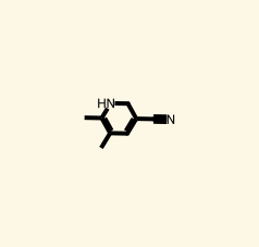 CC1=C(C)NCC(C#N)=C1